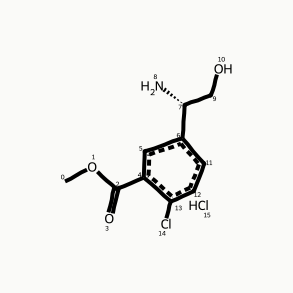 COC(=O)c1cc([C@H](N)CO)ccc1Cl.Cl